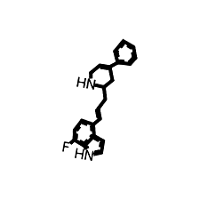 Fc1ccc(/C=C/CC2CC(c3ccccc3)=CCN2)c2cc[nH]c12